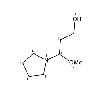 COC(CCO)N1CCCC1